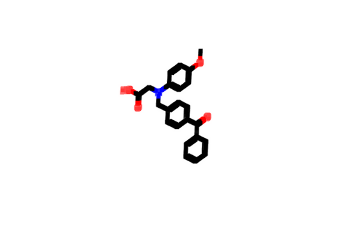 COc1ccc(N(CC(=O)O)Cc2ccc(C(=O)c3ccccc3)cc2)cc1